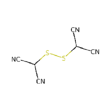 N#CC(C#N)SSC(C#N)C#N